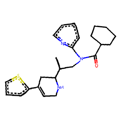 CC(CN(C(=O)C1CCCCC1)c1ccccn1)C1CC(c2cccs2)=CCN1